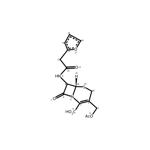 CC(=O)OCC1=C(C(=O)O)N2C(=O)C(NC(=O)Cc3ccco3)[C@@H]2SC1